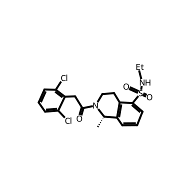 CCNS(=O)(=O)c1cccc2c1CCN(C(=O)Cc1c(Cl)cccc1Cl)[C@H]2C